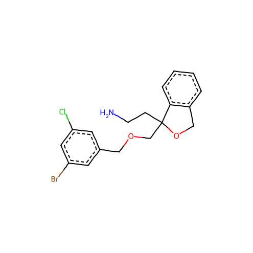 NCCC1(COCc2cc(Cl)cc(Br)c2)OCc2ccccc21